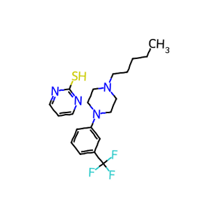 CCCCCN1CCN(c2cccc(C(F)(F)F)c2)CC1.Sc1ncccn1